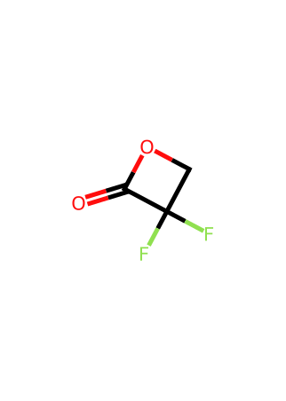 O=C1OCC1(F)F